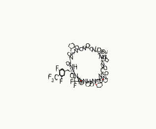 CC[C@H](C)[C@@H]1NC(=O)[C@H](C2CCC2)N(C)C(=O)C[C@@H](C(=O)N2CCCC2)N(C)C(=O)[C@H](C2CCCCC2)N(C)C(=O)C2(CCCC2)NC(=O)[C@@H]2CC(F)(F)CN2C(=O)[C@H](CCc2cc(F)c(C(F)(F)F)c(F)c2)NC(=O)CN(C)C(=O)[C@H](CC2CCCCC2)N(C)C(=O)CN(C)C(=O)CN(C)C1=O